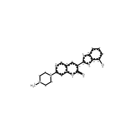 CN1CCN(c2cc3oc(=O)c(-c4nc5c(Cl)cccc5s4)cc3cn2)CC1